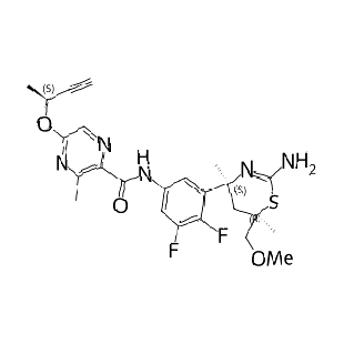 C#C[C@H](C)Oc1cnc(C(=O)Nc2cc(F)c(F)c([C@]3(C)C[C@](C)(COC)SC(N)=N3)c2)c(C)n1